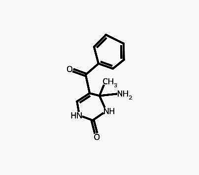 CC1(N)NC(=O)NC=C1C(=O)c1ccccc1